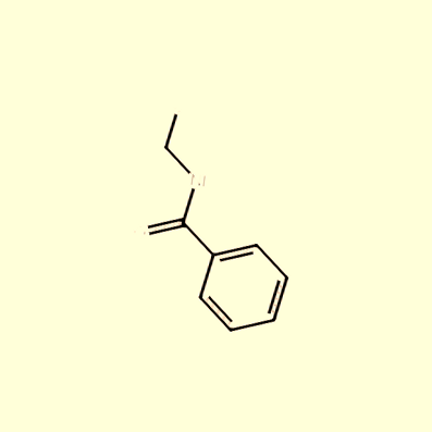 O=C(N[CH]Cl)c1ccccc1